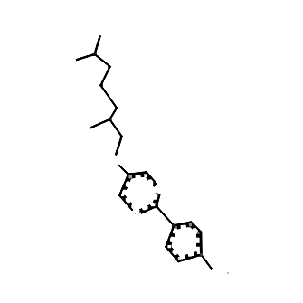 CCCCCCCCCc1ccc(-c2ncc(OCC(F)CCCC(F)CC)cn2)cc1